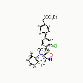 CCOC(=O)Cc1ccc(-c2ccc(-c3onc(C)c3N(C(=O)OCC)c3ccccc3Cl)c(Cl)c2)cc1